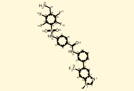 Cn1cnc2cc(-c3cccc(NC(=O)c4ccc(NS(=O)(=O)c5c(F)c(F)c(CN)c(F)c5F)cc4)c3)c(C(F)(F)F)cc21